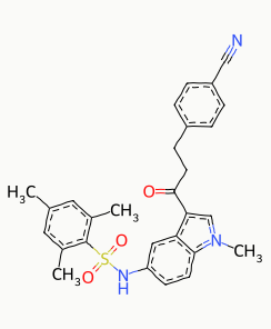 Cc1cc(C)c(S(=O)(=O)Nc2ccc3c(c2)c(C(=O)CCc2ccc(C#N)cc2)cn3C)c(C)c1